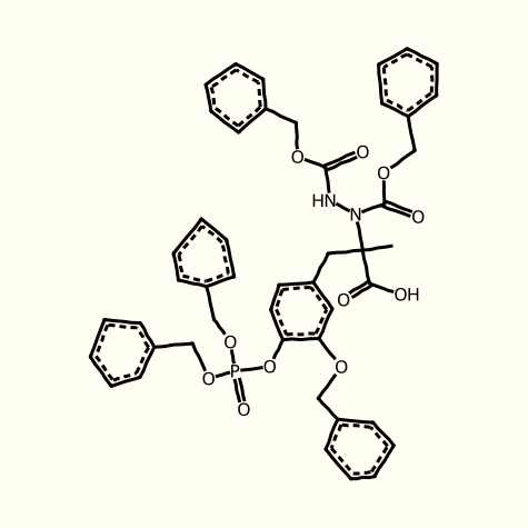 CC(Cc1ccc(OP(=O)(OCc2ccccc2)OCc2ccccc2)c(OCc2ccccc2)c1)(C(=O)O)N(NC(=O)OCc1ccccc1)C(=O)OCc1ccccc1